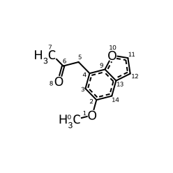 COc1cc(CC(C)=O)c2occc2c1